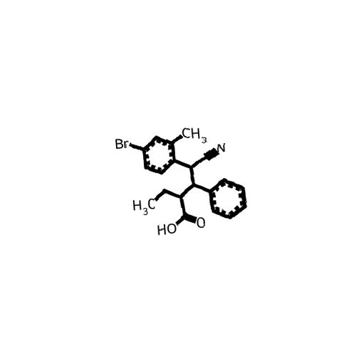 CCC(C(=O)O)C(c1ccccc1)C(C#N)c1ccc(Br)cc1C